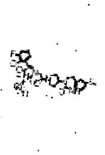 CSc1ccc2c(c1)CCN(C1CCN(C(=O)CN3C=C(c4cccc(F)c4Cl)C(O)N(CCS(C)(=O)=O)C3=O)CC1)C(=O)N2